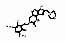 COc1cc(OC)c(Cl)c(CCN2Cc3cnc4[nH]c(CN5CCOCC5)cc4c3NC2=O)c1F